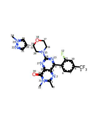 Cc1nc2c(-c3ccc(C(F)(F)F)cc3F)nc(N3CCO[C@@H](c4cnn(C)c4)C3)nc2c(=O)n1C